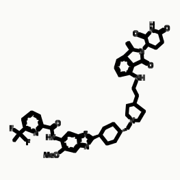 C=C1c2cccc(NCCC3CCN(C[C@H]4CC[C@H](c5nc6cc(OC)c(NC(=O)c7cccc(C(C)(F)F)n7)cc6s5)CC4)CC3)c2C(=O)N1C1CCC(=O)NC1=O